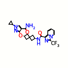 NC(=O)c1cn(C2CC2)nc1O[C@H]1CC2(C[C@H](NC(=O)c3nc(C(F)(F)F)n4ccccc34)C2)C1